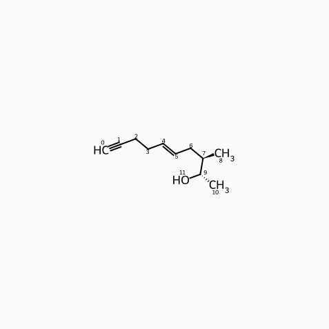 C#CCC/C=C/C[C@@H](C)[C@H](C)O